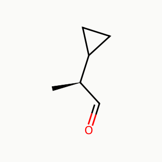 C[C@H](C=O)C1CC1